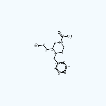 O=C(O)N1CCN(Cc2ccccc2)[C@@H](CCO)C1